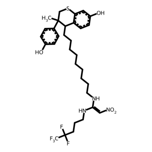 CC1(c2ccc(O)cc2)CSc2cc(O)ccc2C1CCCCCCCCCN/C(=C\[N+](=O)[O-])NCCCC(F)(F)C(F)(F)F